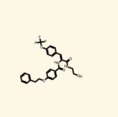 O=C(NCCO)C(=Cc1ccc(OC(F)(F)F)cc1)NC(=O)c1ccc(OCCc2ccccc2)cc1